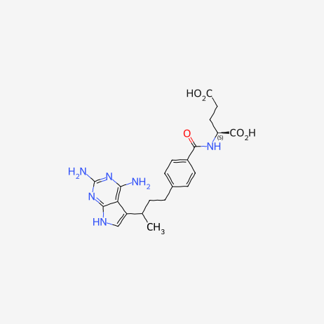 CC(CCc1ccc(C(=O)N[C@@H](CCC(=O)O)C(=O)O)cc1)c1c[nH]c2nc(N)nc(N)c12